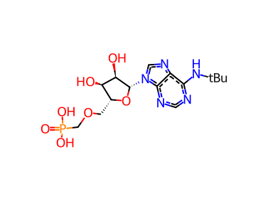 CC(C)(C)Nc1ncnc2c1ncn2[C@@H]1O[C@H](COCP(=O)(O)O)[C@@H](O)[C@H]1O